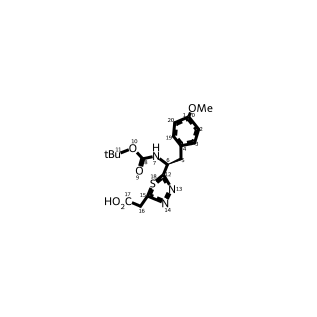 COc1ccc(C[C@H](NC(=O)OC(C)(C)C)c2nnc(CC(=O)O)s2)cc1